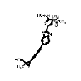 C[C@]1(CO)CC1C#CC#Cc1ccc2nc(CC[C@](C)(C(=O)NO)S(C)(=O)=O)sc2c1